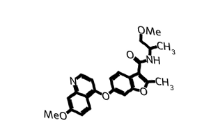 COCC(C)NC(=O)c1c(C)oc2cc(Oc3ccnc4cc(OC)ccc34)ccc12